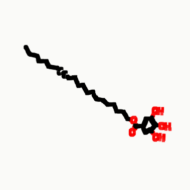 CCCCCCCCCCCCCCCCCCCCCCOC(=O)c1cc(O)c(O)c(O)c1